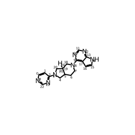 c1cc(N2CC3CCN(c4ncnc5[nH]ccc45)C[C@H]3C2)ncn1